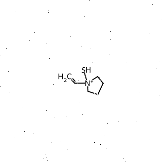 C=C[N+]1(S)CCCC1